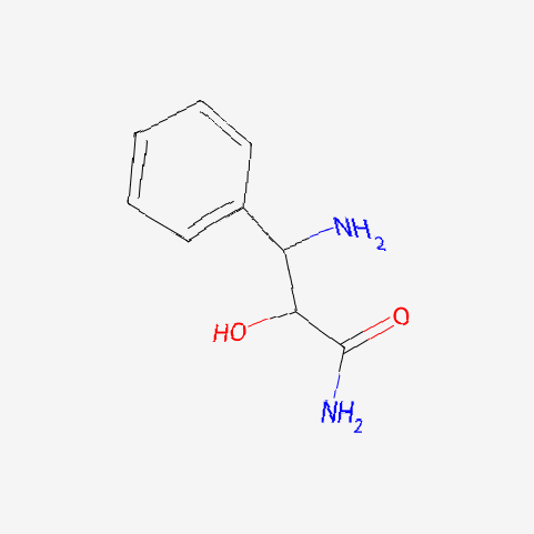 NC(=O)C(O)C(N)c1ccccc1